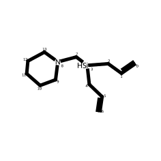 C=CC[SiH](CC=C)CN1CCCCC1